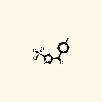 Cc1ccc(C(=O)c2csc(S(=O)(=O)Cl)c2)cc1